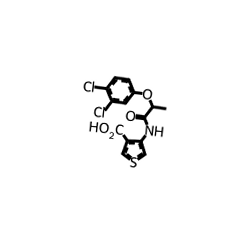 CC(Oc1ccc(Cl)c(Cl)c1)C(=O)Nc1cscc1C(=O)O